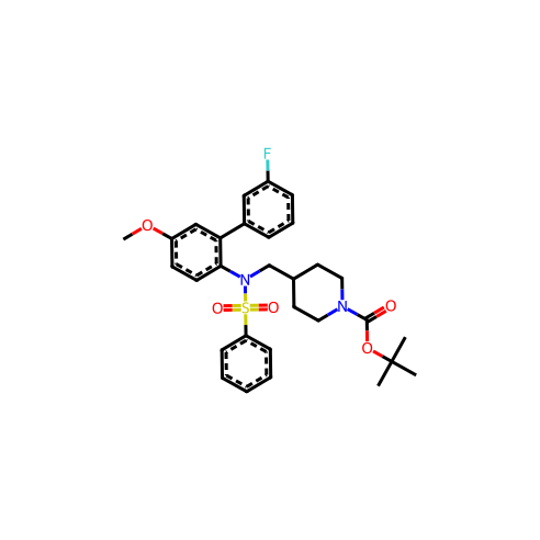 COc1ccc(N(CC2CCN(C(=O)OC(C)(C)C)CC2)S(=O)(=O)c2ccccc2)c(-c2cccc(F)c2)c1